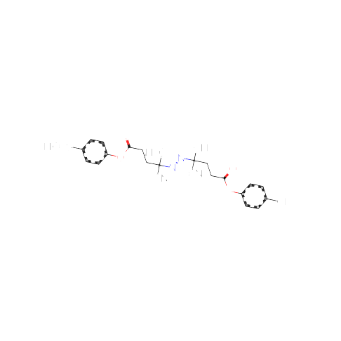 Cc1ccc(OC(=O)CCC(C)(C#N)N=NC(C)(C#N)CCC(=O)Oc2ccc(S(=O)(=O)O)cc2)cc1